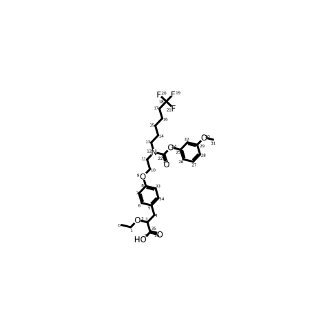 CCOC(Cc1ccc(OCCN(CCCCCC(F)(F)F)C(=O)Oc2cccc(OC)c2)cc1)C(=O)O